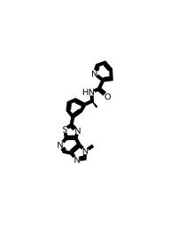 C[C@H](NC(=O)c1ccccn1)c1cccc(-c2nc3c(ncc4ncn(C)c43)s2)c1